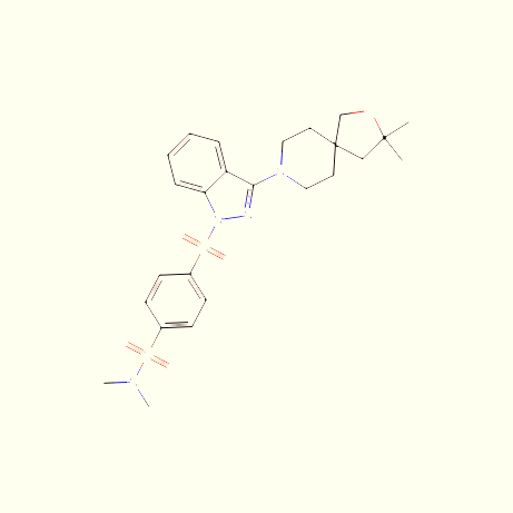 CN(C)S(=O)(=O)c1ccc(S(=O)(=O)n2nc(N3CCC4(CC3)COC(C)(C)C4)c3ccccc32)cc1